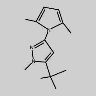 Cc1ccc(C)n1-c1cc(C(C)(C)C)n(C)n1